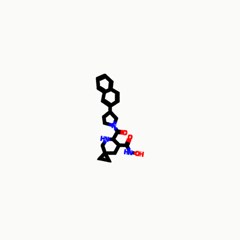 O=C(NO)C1CC2(CC2)CNC1C(=O)N1CCC(c2ccc3ccccc3c2)C1